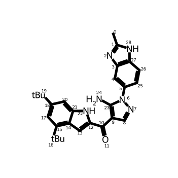 Cc1nc2cc(-n3ncc(C(=O)c4cc5c(C(C)(C)C)cc(C(C)(C)C)cc5[nH]4)c3N)ccc2[nH]1